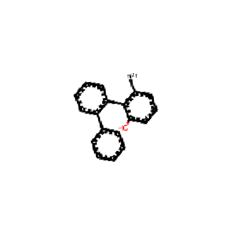 CCCc1cccc(O)c1-c1ccccc1-c1ccccc1